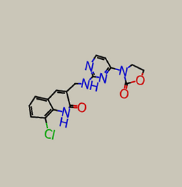 O=C1OCCN1c1ccnc(NCc2cc3cccc(Cl)c3[nH]c2=O)n1